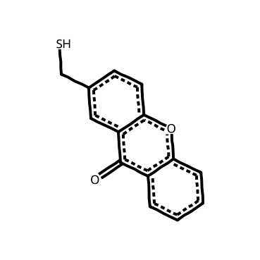 O=c1c2ccccc2oc2ccc(CS)cc12